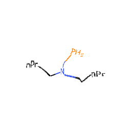 CCCCN(P)CCCC